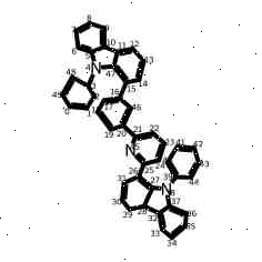 C1=CCC(n2c3ccccc3c3cccc(-c4cccc(-c5cccc(C6=C7C(CC=C6)c6ccccc6N7c6ccccc6)n5)c4)c32)C=C1